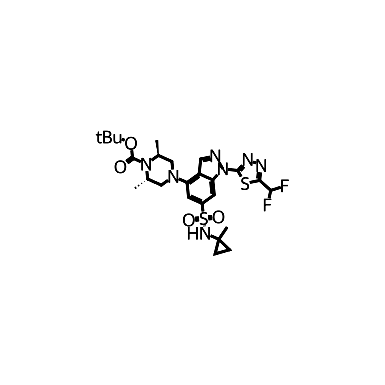 C[C@H]1CN(c2cc(S(=O)(=O)NC3(C)CC3)cc3c2cnn3-c2nnc(C(F)F)s2)C[C@H](C)N1C(=O)OC(C)(C)C